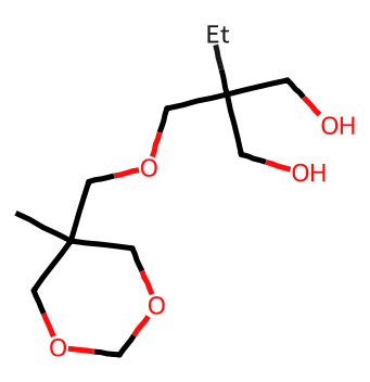 CCC(CO)(CO)COCC1(C)COCOC1